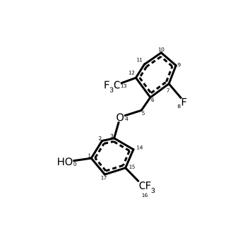 Oc1cc(OCc2c(F)cccc2C(F)(F)F)cc(C(F)(F)F)c1